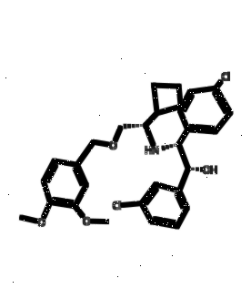 COc1ccc(COC[C@@H](N[C@H](c2ccc(Cl)cc2)[C@H](O)c2cccc(Cl)c2)C2CCC2)cc1OC